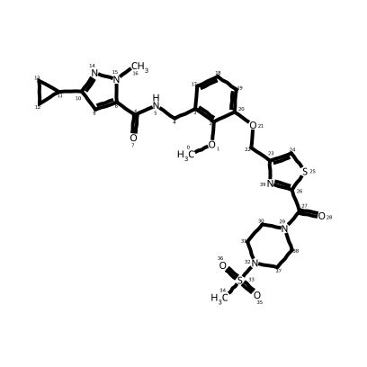 COc1c(CNC(=O)c2cc(C3CC3)nn2C)cccc1OCc1csc(C(=O)N2CCN(S(C)(=O)=O)CC2)n1